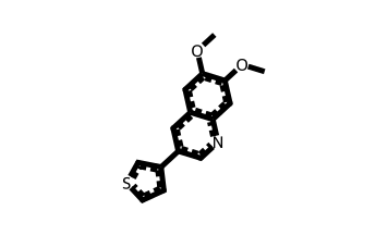 COc1cc2cc(-c3ccsc3)cnc2cc1OC